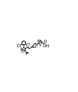 O=C(O)c1cnc(N2CC3C(C=Cc4c(-c5c(Cl)cccc5Cl)noc4C4CC4)C3C2)s1